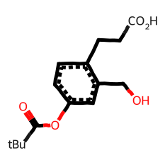 CC(C)(C)C(=O)Oc1ccc(CCC(=O)O)c(CO)c1